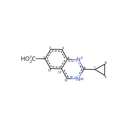 O=C(O)c1ccc2nc(C3CC3)ncc2c1